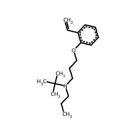 C=Cc1ccccc1OCCCN(CCC)C(C)(C)C